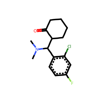 CN(C)C(c1ccc(F)cc1Cl)C1CCCCC1=O